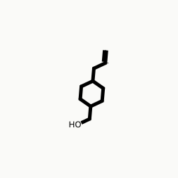 C=[C]CC1CCC(CO)CC1